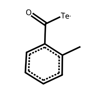 Cc1ccccc1C(=O)[Te]